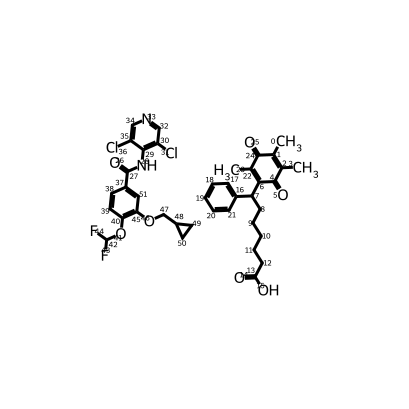 CC1=C(C)C(=O)C(C(CCCCCC(=O)O)c2ccccc2)=C(C)C1=O.O=C(Nc1c(Cl)cncc1Cl)c1ccc(OC(F)F)c(OCC2CC2)c1